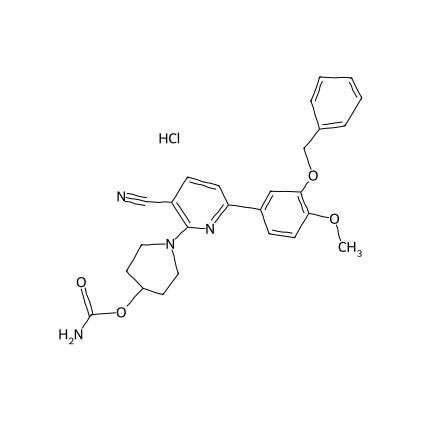 COc1ccc(-c2ccc(C#N)c(N3CCC(OC(N)=O)CC3)n2)cc1OCc1ccccc1.Cl